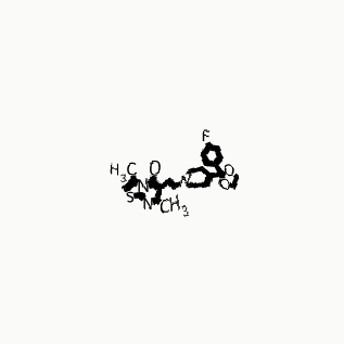 Cc1nc2scc(C)n2c(=O)c1CCN1CCC(C2(c3ccc(F)cc3)OCCO2)CC1